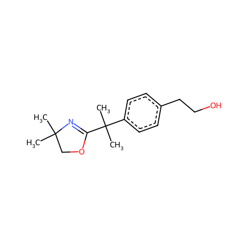 CC1(C)COC(C(C)(C)c2ccc(CCO)cc2)=N1